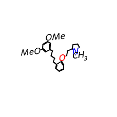 COc1cc(CCCCc2ccccc2OCCC2CCCN2C)cc(OC)c1